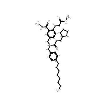 CCCCCCCCc1ccc(CN(Cc2ccc(OCC(=O)OC)c(C(=O)OC)c2)C(=O)CCC2CCCC2)cc1